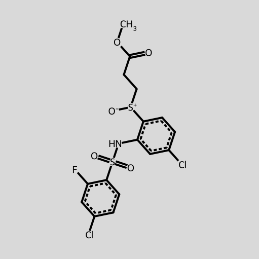 COC(=O)CC[S+]([O-])c1ccc(Cl)cc1NS(=O)(=O)c1ccc(Cl)cc1F